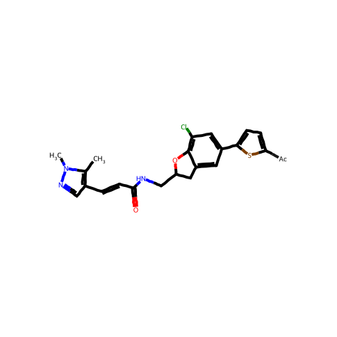 CC(=O)c1ccc(-c2cc(Cl)c3c(c2)CC(CNC(=O)C=Cc2cnn(C)c2C)O3)s1